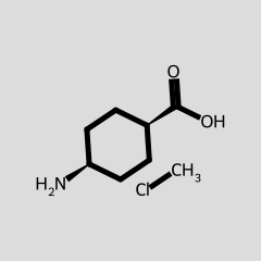 CCl.N[C@H]1CC[C@@H](C(=O)O)CC1